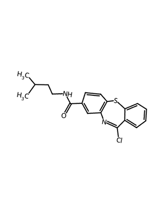 CC(C)CCNC(=O)c1ccc2c(c1)N=C(Cl)c1ccccc1S2